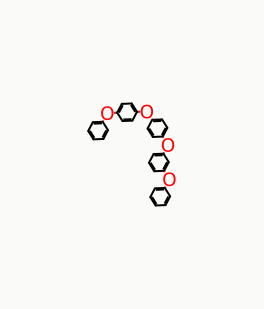 c1ccc(Oc2ccc(Oc3ccc(Oc4cccc(Oc5ccccc5)c4)cc3)cc2)cc1